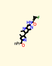 CCCC(=O)c1cc(C)c(-c2cc3cnc(NC(=O)[C@H]4C[C@H]4F)cc3nc2C)cn1